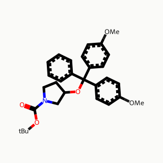 COc1ccc(C(OC2CCN(C(=O)OC(C)(C)C)C2)(c2ccccc2)c2ccc(OC)cc2)cc1